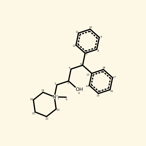 C[N+]1(CC(O)CC(c2ccccc2)c2ccccc2)CCCCC1